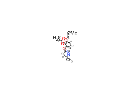 C=CC(=O)Oc1c(OCCOC)cccc1Oc1ccc(C(F)(F)F)nn1